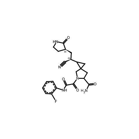 N#C[C@@H](C[C@H]1CCNC1=O)C1CC12CC(C(N)=O)N(C(=O)C(=O)Nc1ccccc1F)C2